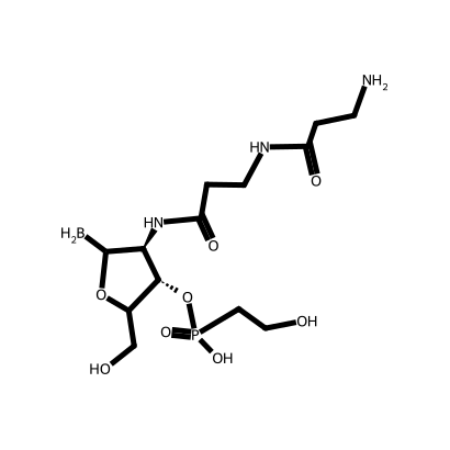 BC1OC(CO)[C@@H](OP(=O)(O)CCO)[C@@H]1NC(=O)CCNC(=O)CCN